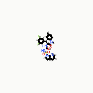 Cc1ccc(N(C)C(=O)[C@H](Cc2cc(F)cc(F)c2)NC(=O)NS(=O)(=O)N2CCc3cccnc32)cc1